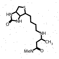 CNC(=O)CC(C)NCCCCC1SCC2NC(=O)NC21